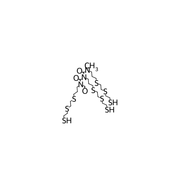 CN(CCCSCCSCCS)C(=O)N(CCCSCCSCCS)C(=O)N(C=O)CCCSCCSCCS